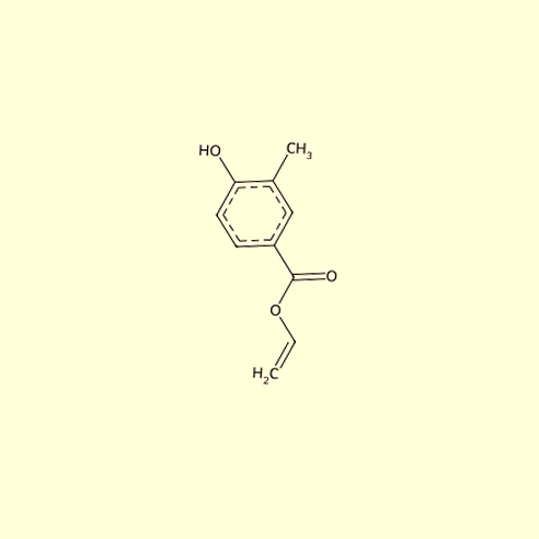 C=COC(=O)c1ccc(O)c(C)c1